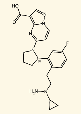 NN(CCc1ccc(F)cc1[C@H]1CCCN1c1ccn2ncc(C(=O)O)c2n1)C1CC1